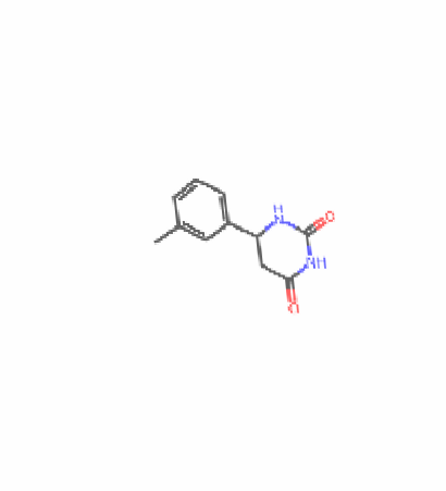 Cc1cccc(C2CC(=O)NC(=O)N2)c1